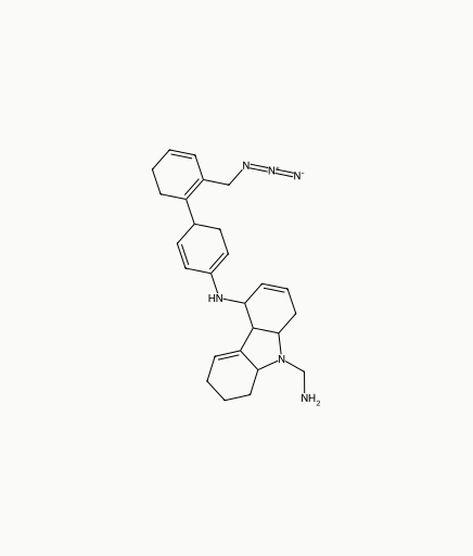 [N-]=[N+]=NCC1=C(C2C=CC(NC3C=CCC4C3C3=CCCCC3N4CN)=CC2)CCC=C1